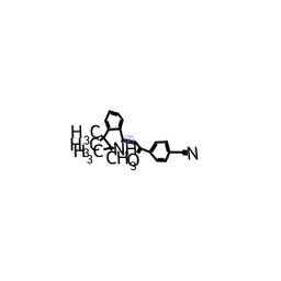 CC1(C)N/C(=C\C(=O)c2ccc(C#N)cc2)c2ccccc2C1(C)C